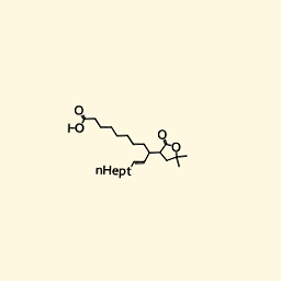 CCCCCCC/C=C/C(CCCCCCCC(=O)OI)C1CC(C)(C)OC1=O